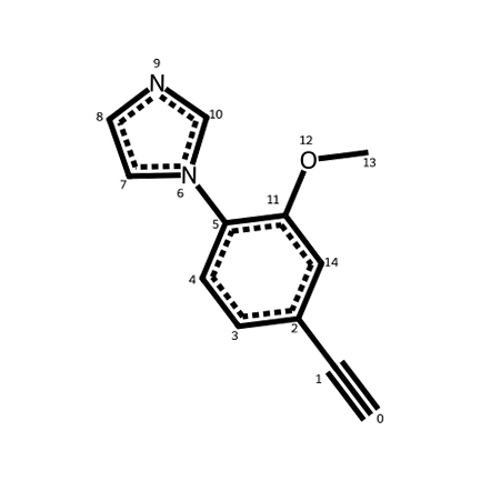 C#Cc1ccc(-n2ccnc2)c(OC)c1